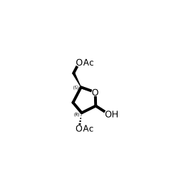 CC(=O)OC[C@@H]1C[C@@H](OC(C)=O)C(O)O1